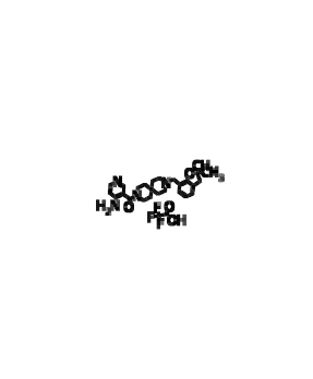 CC1(C)Cc2cccc(CN3CCC4(CC3)CCN(C(=O)c3cnccc3N)CC4)c2O1.O=C(O)C(F)(F)F